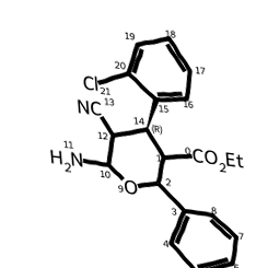 CCOC(=O)C1C(c2ccccc2)OC(N)C(C#N)[C@H]1c1ccccc1Cl